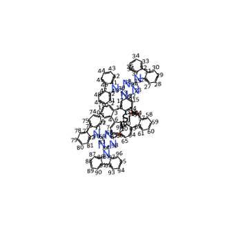 c1ccc2c(c1)-c1ccccc1[Si]1(c3ccccc3-2)c2cc(-c3nc(-n4c5ccccc5c5ccccc54)nc(-n4c5ccccc5c5ccccc54)n3)ccc2-c2ccccc2-c2ccc(-c3nc(-n4c5ccccc5c5ccccc54)nc(-n4c5ccccc5c5ccccc54)n3)cc21